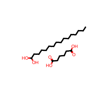 CCCCCCCCCCCCCCCC(O)O.O=C(O)CCCCC(=O)O